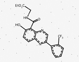 CCOC(=O)CNC(=O)c1c(O)ccc2nc(-c3ccccc3C(F)(F)F)cnc12